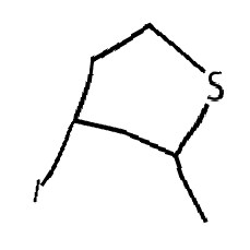 CC1SCCC1I